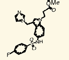 COC(=O)CCn1cc(Cn2ccnc2)c2cc(NS(=O)(=O)c3ccc(F)cc3)ccc21